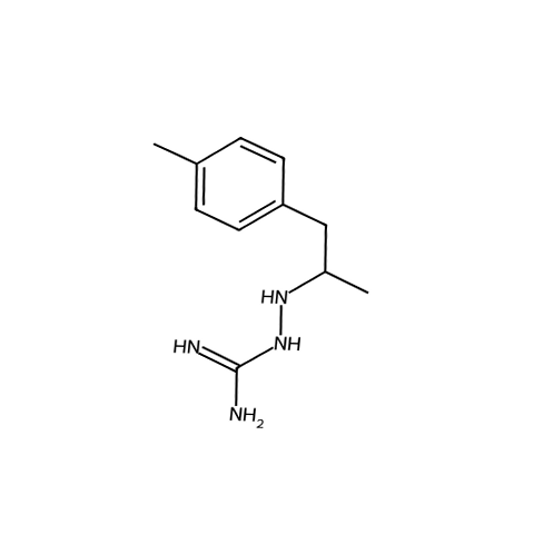 Cc1ccc(CC(C)NNC(=N)N)cc1